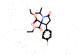 CCOC(=O)C1(C(=O)OCC)C(c2ccc(F)cc2)CC(=O)N1C(C)C